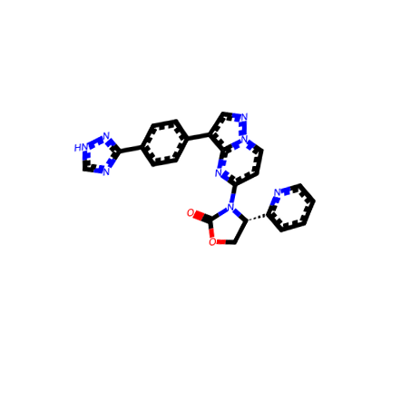 O=C1OC[C@@H](c2ccccn2)N1c1ccn2ncc(-c3ccc(-c4nc[nH]n4)cc3)c2n1